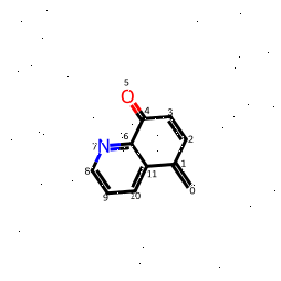 C=C1C=CC(=O)c2ncccc21